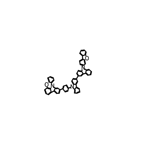 c1ccc2c(c1)Oc1cccc3c4ccc(-c5ccc(-n6c7ccccc7c7cc(-c8ccc9c(c8)c8ccccc8n9-c8ccc9c(c8)oc8ccccc89)ccc76)cc5)cc4n-2c13